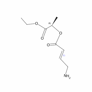 CCOC(=O)[C@@H](C)OC(=O)/C=C/CN